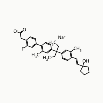 CCC(CC)(c1ccc(/C=C/C2(O)CCCC2)c(C)c1)c1ccc(-c2ccc(CC(=O)[O-])c(F)c2)c(C)c1.[Na+]